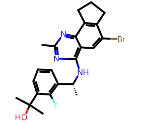 Cc1nc(N[C@H](C)c2cccc(C(C)(C)O)c2F)c2cc(Br)c3c(c2n1)CCC3